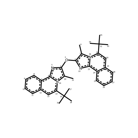 Cc1c(Oc2nc3c4ccccc4cc(C(C)(C)C)n3c2C)nc2c3ccccc3cc(C(C)(C)C)n12